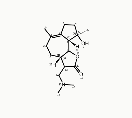 CC1=C2CC[C@@](C)(O)[C@@H]2C2OC(=O)C(CN(C)C)[C@@H]2CC1